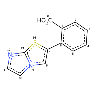 O=C(O)c1ccccc1-c1cn2ccnc2s1